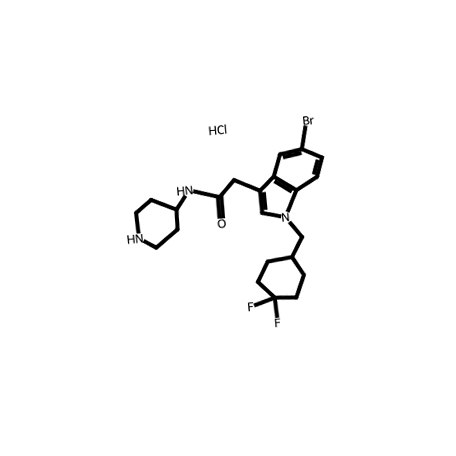 Cl.O=C(Cc1cn(CC2CCC(F)(F)CC2)c2ccc(Br)cc12)NC1CCNCC1